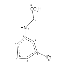 CC(C)c1cccc(NCC(=O)O)c1